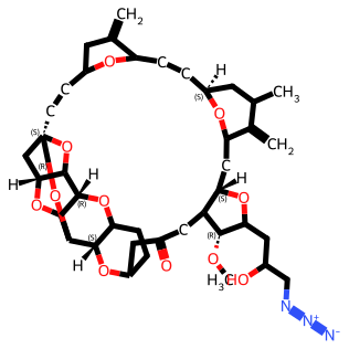 C=C1CC2CC[C@@]34C[C@H]5OC6C(O3)[C@H]3OC(CCC3O[C@H]6C5O4)CC(=O)CC3[C@@H](OC)C(CC(O)CN=[N+]=[N-])O[C@H]3CC3O[C@@H](CCC1O2)CC(C)C3=C